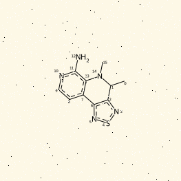 CC1c2nsnc2-c2ccnc(N)c2N1C